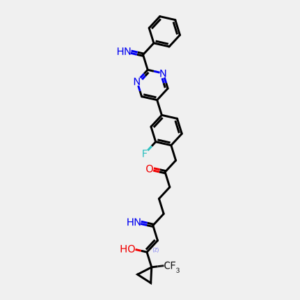 N=C(/C=C(\O)C1(C(F)(F)F)CC1)CCCC(=O)Cc1ccc(-c2cnc(C(=N)c3ccccc3)nc2)cc1F